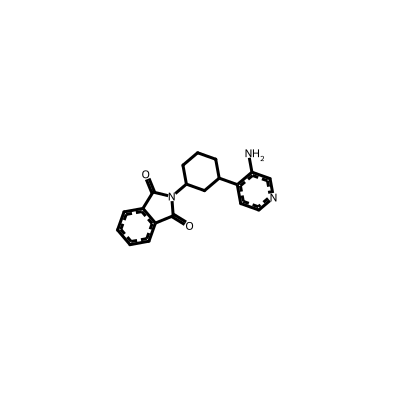 Nc1cnccc1C1CCCC(N2C(=O)c3ccccc3C2=O)C1